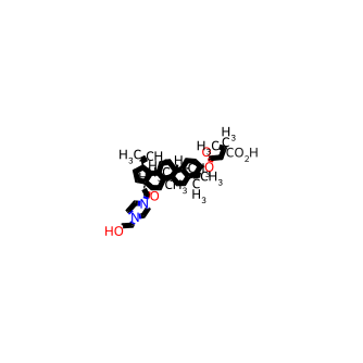 C=C(C)[C@@H]1CC[C@]2(CC(=O)N3CCN(CCO)CC3)CC[C@]3(C)[C@H](CC[C@@H]4[C@@]5(C)CC[C@H](OC(=O)CC(C)(C)C(=O)O)C(C)(C)C5CC[C@]43C)[C@@H]12